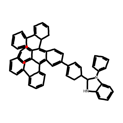 C1=CCC(c2c3ccccc3c(-c3ccccc3-c3ccccc3)c3cc(C4=CCC(C5Nc6ccccc6N5c5ccccc5)C=C4)ccc23)C(c2ccccc2)=C1